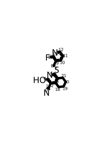 N#Cc1c(O)nc(SCc2cccnc2F)c2c1CCCC2